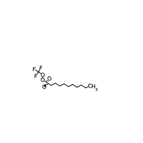 CCCCCCCCCCS(=O)(=O)OOC(F)(F)F